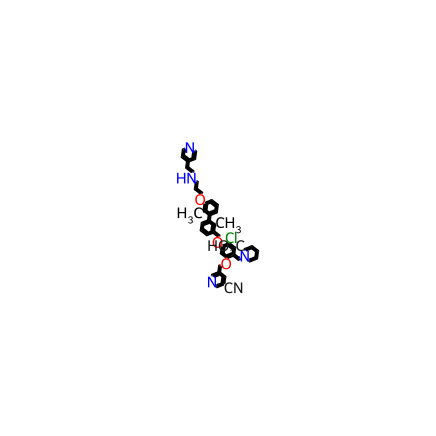 Cc1c(COc2cc(OCc3cncc(C#N)c3)c(CN3CCCC[C@H]3C(=O)O)cc2Cl)cccc1-c1cccc(OCCCNCCc2ccncc2)c1C